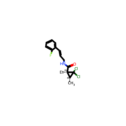 CC[C@@]1(C(=O)NCC=Cc2ccccc2F)[C@@H](C)C1(Cl)Cl